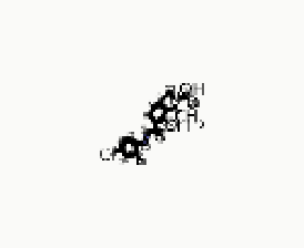 CC1c2c(ccc(C(=O)/C=C/c3ccc(Cl)cc3F)c2O)CCN1C(=O)O